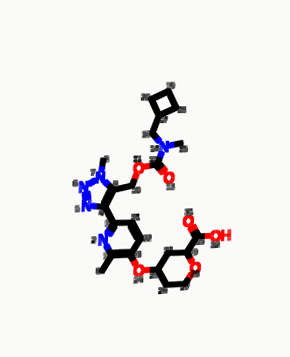 Cc1nc(-c2nnn(C)c2COC(=O)N(C)CC2CCC2)ccc1OC1CCOC(C(=O)O)C1